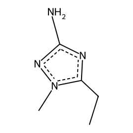 CCc1nc(N)nn1C